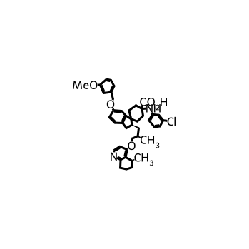 COc1cccc(COc2ccc3c(c2)C2(CCC(Nc4cccc(Cl)c4)(C(=O)O)CC2)[C@@H](C[C@@H](C)COc2ccnc4c2[C@H](C)CCC4)C3)c1